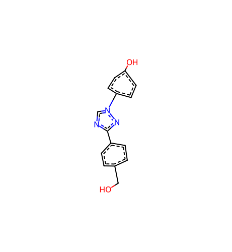 OCc1ccc(-c2ncn(-c3ccc(O)cc3)n2)cc1